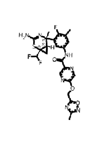 Cc1noc(COc2cnc(C(=O)Nc3cc(C)c(F)c([C@@]4(C)N=C(N)S[C@@]5(C(F)F)C[C@@H]45)c3)cn2)n1